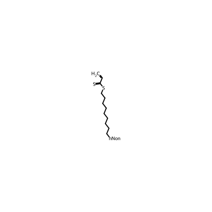 C=CC(=S)SCCCCCCCCCCCCCCCCCC